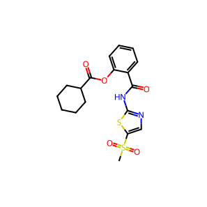 CS(=O)(=O)c1cnc(NC(=O)c2ccccc2OC(=O)C2CCCCC2)s1